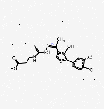 C/C(=N/NC(=S)NCCC(=O)O)c1csc(-c2ccc(Cl)c(Cl)c2)c1O